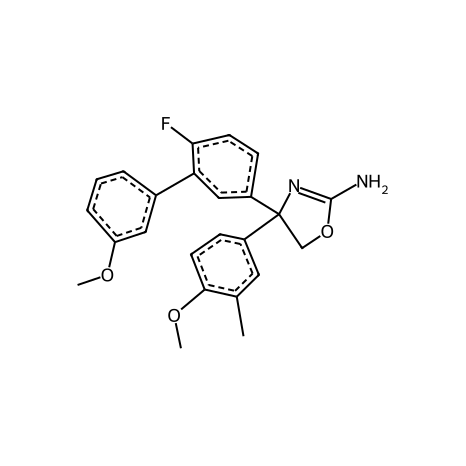 COc1cccc(-c2cc(C3(c4ccc(OC)c(C)c4)COC(N)=N3)ccc2F)c1